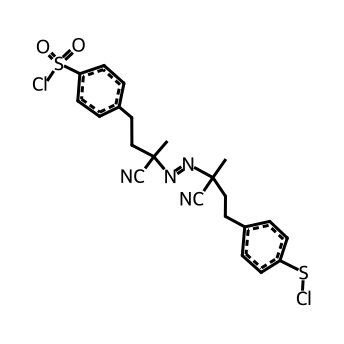 CC(C#N)(CCc1ccc(SCl)cc1)/N=N/C(C)(C#N)CCc1ccc(S(=O)(=O)Cl)cc1